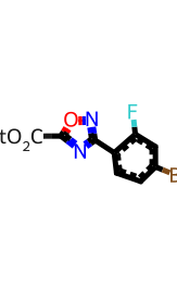 CCOC(=O)c1nc(-c2ccc(Br)cc2F)no1